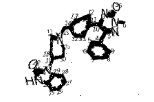 Cn1nc(-c2ccccc2)c(-c2ccc(CN3CCC(n4c(=O)[nH]c5ccccc54)CC3)cc2)nc1=O